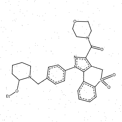 CCOC1CCCCN1Cc1ccc(-n2nc(C(=O)N3CCOCC3)c3c2-c2ccccc2S(=O)(=O)C3)cc1